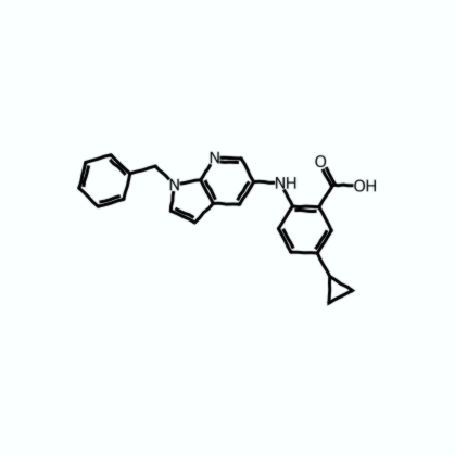 O=C(O)c1cc(C2CC2)ccc1Nc1cnc2c(ccn2Cc2ccccc2)c1